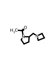 CC(=O)N1CCCC1CN1CCC1